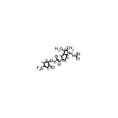 CCN(CC)CCn1c(C)c(C)c2cc(NC(=O)COc3ccc(C(F)(F)F)cc3Cl)ccc21